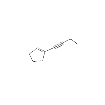 CCC#CC1=CC[CH]C1